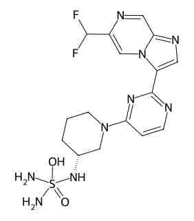 NS(N)(=O)(O)N[C@@H]1CCCN(c2ccnc(-c3cnc4cnc(C(F)F)cn34)n2)C1